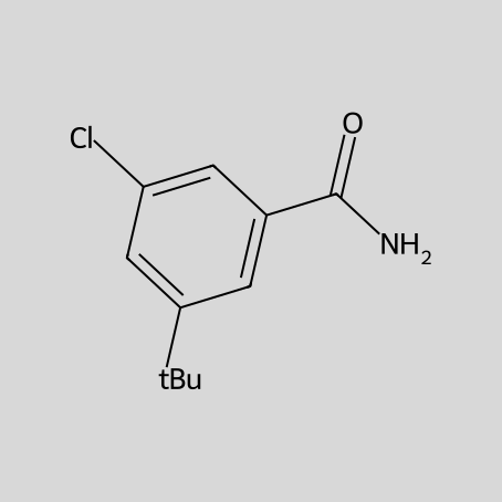 CC(C)(C)c1cc(Cl)cc(C(N)=O)c1